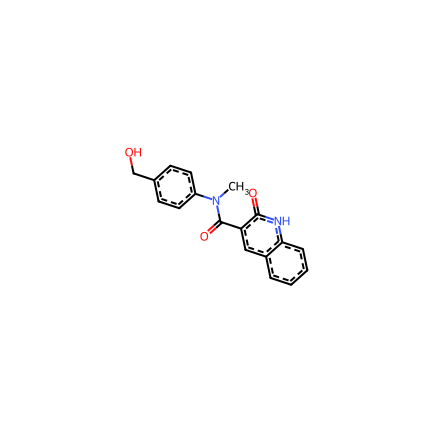 CN(C(=O)c1cc2ccccc2[nH]c1=O)c1ccc(CO)cc1